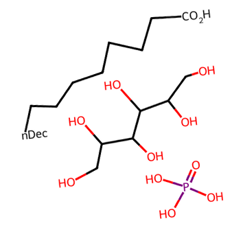 CCCCCCCCCCCCCCCCCC(=O)O.O=P(O)(O)O.OCC(O)C(O)C(O)C(O)CO